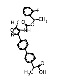 Cc1onc(-c2ccc(-c3ccc(C(C)C(=O)O)cc3)cc2)c1NC(=O)O[C@H](C)c1ccccc1F